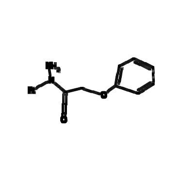 CCN(N)C(=O)COc1ccccc1